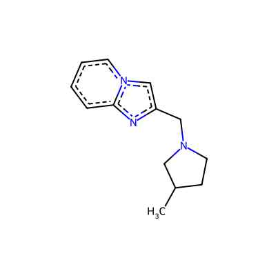 CC1CCN(Cc2cn3ccccc3n2)C1